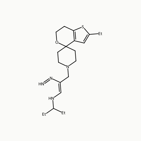 CCc1cc2c(s1)CCOC21CCN(C/C(=C/NC(CC)CC)N=N)CC1